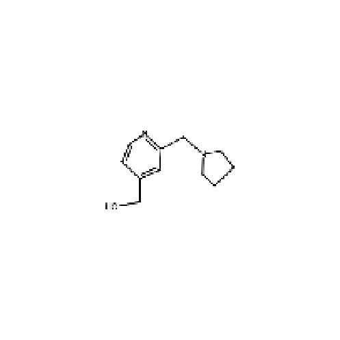 OCc1ccnc(CN2CCCC2)c1